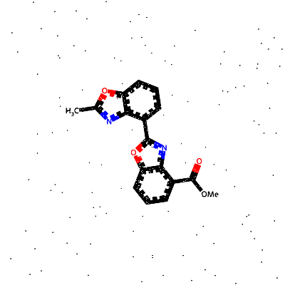 COC(=O)c1cccc2oc(-c3cccc4oc(C)nc34)nc12